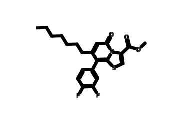 CCCCCCCc1cc(=O)n2c(C(=O)OC)csc2c1-c1ccc(F)c(F)c1